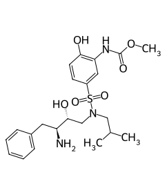 COC(=O)Nc1cc(S(=O)(=O)N(CC(C)C)C[C@@H](O)[C@@H](N)Cc2ccccc2)ccc1O